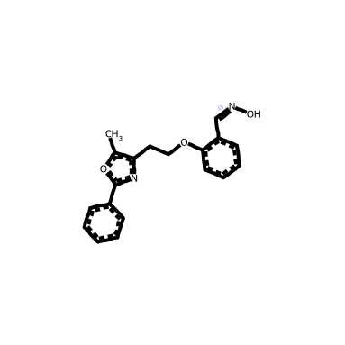 Cc1oc(-c2ccccc2)nc1CCOc1ccccc1/C=N\O